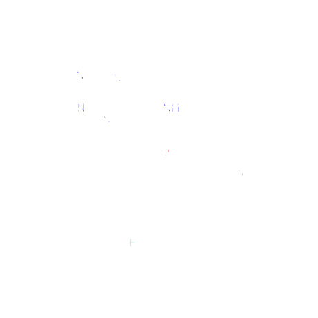 CNc1nnnn1-c1cc(C)c(F)cc1OC1COC1